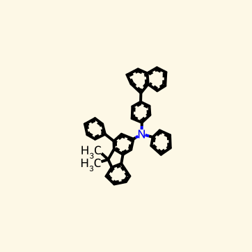 CC1(C)c2ccccc2-c2cc(N(c3ccccc3)c3ccc(-c4cccc5ccccc45)cc3)cc(-c3ccccc3)c21